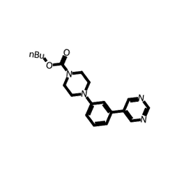 CCCCOC(=O)N1CCN(c2cccc(-c3cncnc3)c2)CC1